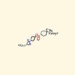 CCCCCCCCc1cnc(-c2ccc(OC(=O)[C@H]3CC[C@@](C#N)(CCCCCCC)CC3)cc2)nc1